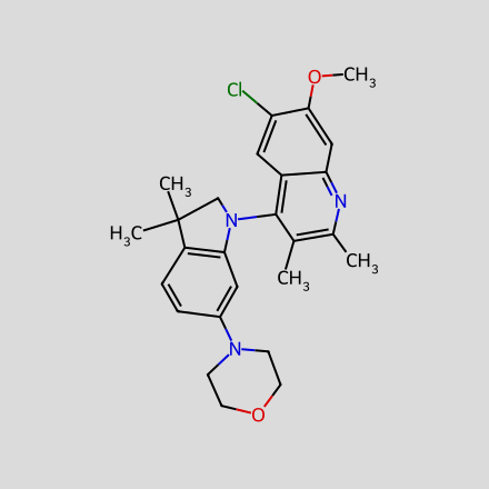 COc1cc2nc(C)c(C)c(N3CC(C)(C)c4ccc(N5CCOCC5)cc43)c2cc1Cl